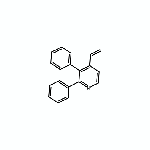 C=Cc1ccnc(-c2ccccc2)c1-c1ccccc1